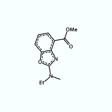 CCN(C)c1nc2c(C(=O)OC)cccc2o1